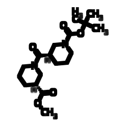 COC(=O)[C@@H]1CCCN(C(=O)[C@@H]2CCCN(C(=O)OC(C)(C)C)C2)C1